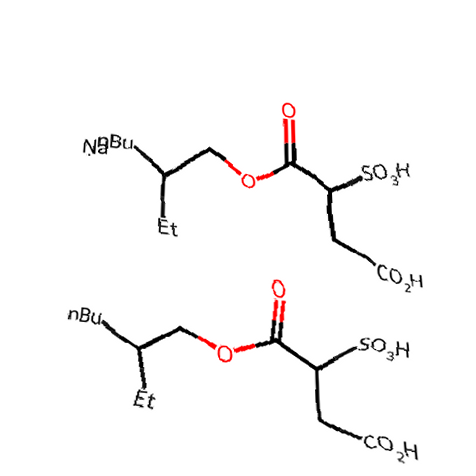 CCCCC(CC)COC(=O)C(CC(=O)O)S(=O)(=O)O.CCCCC(CC)COC(=O)C(CC(=O)O)S(=O)(=O)O.[Na]